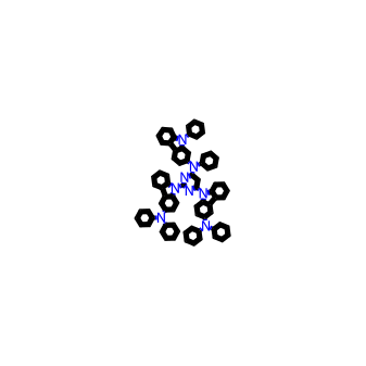 c1ccc(N(c2ccccc2)c2ccc3c(c2)c2ccccc2n3-c2cc(N(c3ccccc3)c3ccc4c5ccccc5n(-c5ccccc5)c4c3)nc(-n3c4ccccc4c4cc(N(c5ccccc5)c5ccccc5)ccc43)n2)cc1